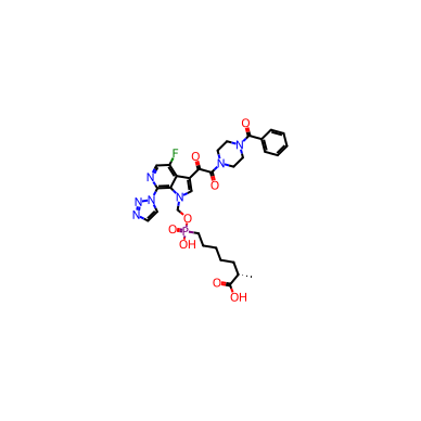 C[C@@H](CCCCCP(=O)(O)OCn1cc(C(=O)C(=O)N2CCN(C(=O)c3ccccc3)CC2)c2c(F)cnc(-n3ccnn3)c21)C(=O)O